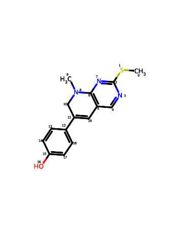 CSc1ncc2c(n1)N(C)CC(c1ccc(O)cc1)=C2